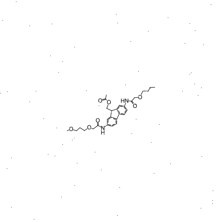 CCCCOCC(=O)Nc1ccc2c(c1)C(COC(C)=O)c1cc(NC(=O)COCCCOC)ccc1-2